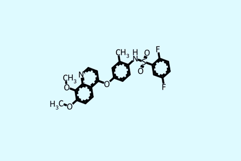 COc1ccc2c(Oc3ccc(NS(=O)(=O)c4cc(F)ccc4F)c(C)c3)ccnc2c1OC